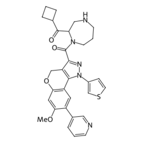 COc1cc2c(cc1-c1cccnc1)-c1c(c(C(=O)N3CCCNCC3C(=O)C3CCC3)nn1-c1ccsc1)CO2